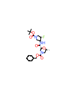 C[C@@H]1CN(C(=O)OCc2ccccc2)C[C@H](C(=O)N[C@@H]2CN(C(=O)OC(C)(C)C)C[C@@H]2F)O1